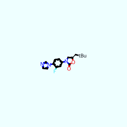 CC(C)(C)C[C@@H]1CN(c2ccc(-n3ccnc3)c(F)c2)C(=O)O1